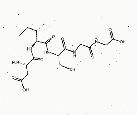 CC[C@H](C)[C@H](NC(=O)[C@@H](N)CC(=O)O)C(=O)N[C@@H](CO)C(=O)NCC(=O)NCC(=O)O